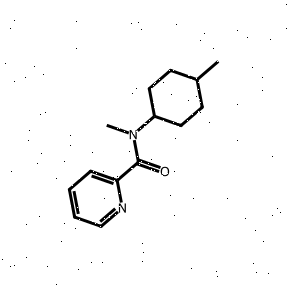 CC1CCC(N(C)C(=O)c2ccccn2)CC1